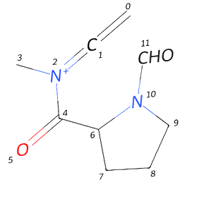 C=C=[N+](C)C(=O)C1CCCN1C=O